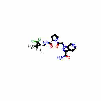 CC1(C)[C@H](CNC(=O)[C@@H]2CC=CN2C(=O)Cn2nc(C(N)=O)c3ccncc32)C1(Cl)Cl